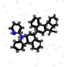 CC1(C)c2ccccc2-c2c1cc(-c1cc3c(c4ccccc14)c1ccccc1n3-c1ccccn1)c1ccccc21